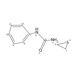 C1CS1.NC(=O)Nc1ccccc1